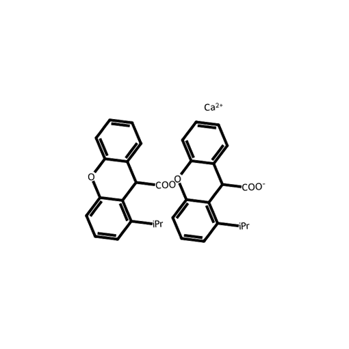 CC(C)c1cccc2c1C(C(=O)[O-])c1ccccc1O2.CC(C)c1cccc2c1C(C(=O)[O-])c1ccccc1O2.[Ca+2]